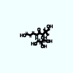 CC(C)(CO)C(O)C(=O)NCCCO.OCC(O)CO